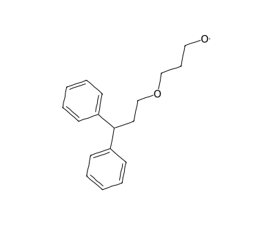 [O]CCCOCCC(c1ccccc1)c1ccccc1